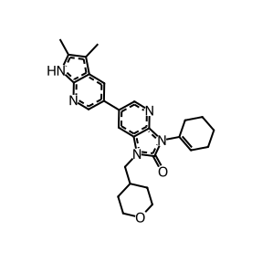 Cc1[nH]c2ncc(-c3cnc4c(c3)n(CC3CCOCC3)c(=O)n4C3=CCCCC3)cc2c1C